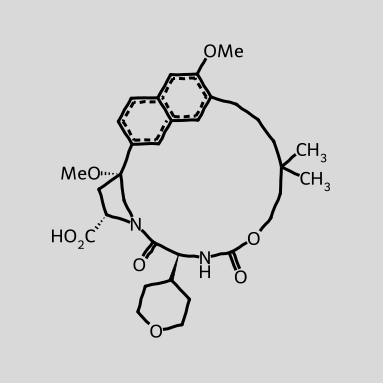 COc1cc2ccc3cc2cc1CCCC(C)(C)CCOC(=O)N[C@@H](C1CCOCC1)C(=O)N1C[C@@]3(OC)C[C@H]1C(=O)O